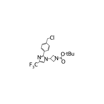 CC(C)(C)OC(=O)N1CC(n2cc(C(F)(F)F)nc2-c2ccc(CCl)cc2)C1